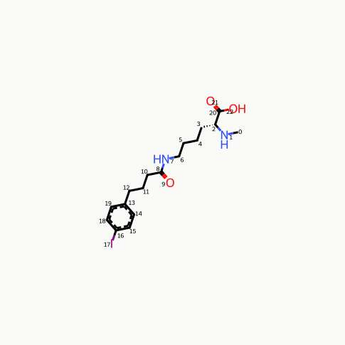 CN[C@H](CCCCNC(=O)CCCc1ccc(I)cc1)C(=O)O